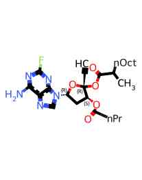 C#C[C@]1(OC(=O)C(C)CCCCCCCC)O[C@@H](n2cnc3c(N)nc(F)nc32)C[C@@H]1OC(=O)CCC